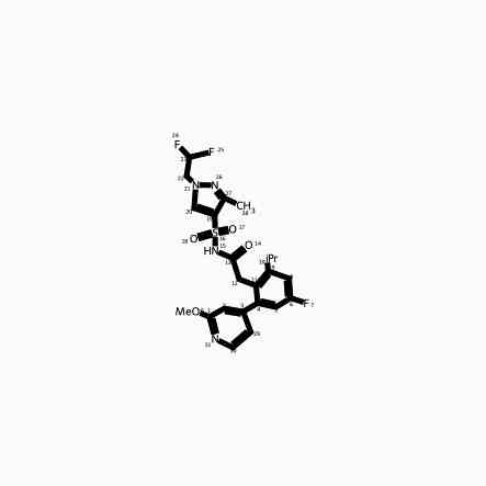 COc1cc(-c2cc(F)cc(C(C)C)c2CC(=O)NS(=O)(=O)c2cn(CC(F)F)nc2C)ccn1